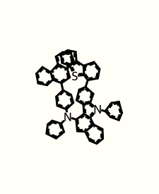 c1ccc(N(c2ccc(-c3cc4ccccc4c4ccccc34)cc2)c2cc3ccccc3c3c2c2ccc(-c4cccc5c4sc4ccccc45)cc2n3-c2ccccc2)cc1